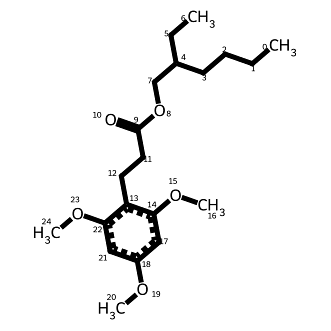 CCCCC(CC)COC(=O)CCc1c(OC)cc(OC)cc1OC